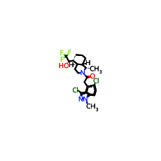 C[C@H]1[C@H]2CCC[C@@H]([C@@H](O)C(F)(F)F)[C@@H]2CCN1C(=O)Cc1c(Cl)ccc2c1c(Cl)nn2C